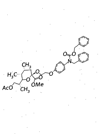 COC(=O)[C@@]1(OCCOc2ccc(N(Cc3ccccc3)C(=O)OCc3ccccc3)cc2)C[C@@H](C)[C@@H](C)C([C@H](C)COC(C)=O)O1